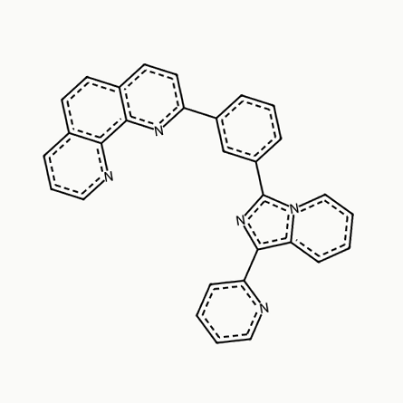 c1ccc(-c2nc(-c3cccc(-c4ccc5ccc6cccnc6c5n4)c3)n3ccccc23)nc1